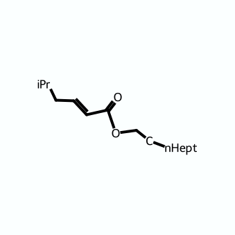 CCCCCCCCCOC(=O)C=CCC(C)C